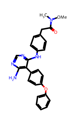 CON(C)C(=O)Cc1ccc(Nc2ncnc(N)c2-c2ccc(Oc3ccccc3)cc2)cc1